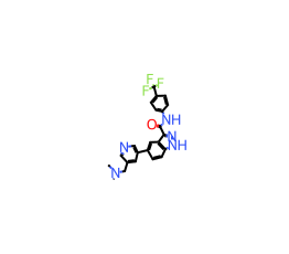 CN(C)Cc1cncc(-c2ccc3[nH]nc(C(=O)Nc4ccc(C(F)(F)F)cc4)c3c2)c1